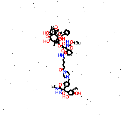 CCNC(=O)c1noc(-c2cc(C(C)C)c(O)cc2O)c1-c1ccc(CN2CCN(C(=O)CCCCCNC(=O)O[C@@H](C(=O)O[C@H]3CC4(O)[C@@H](OC(=O)c5ccccc5)[C@@H]5[C@]6(OC(C)=O)CO[C@@H]6C[C@H](O)[C@@]5(C)C(=O)[C@H](O)C(=C3C)C4(C)C)[C@@H](NC(=O)OC(C)(C)C)c3ccccc3)CC2)cc1